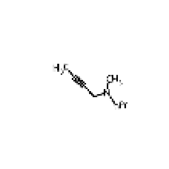 CC#CCN(C)CCC